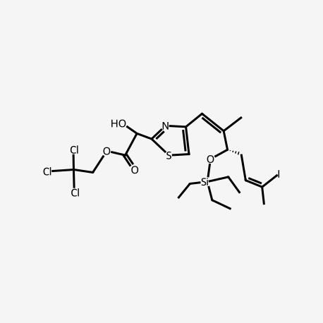 CC[Si](CC)(CC)O[C@@H](CC=C(C)I)C(C)=Cc1csc(C(O)C(=O)OCC(Cl)(Cl)Cl)n1